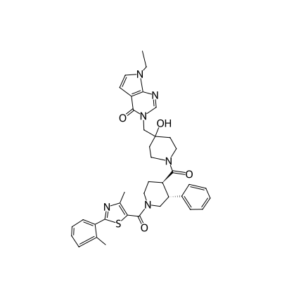 CCn1ccc2c(=O)n(CC3(O)CCN(C(=O)[C@@H]4CCN(C(=O)c5sc(-c6ccccc6C)nc5C)C[C@H]4c4ccccc4)CC3)cnc21